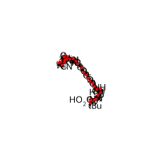 CC(C)(C)CC[C@H](NC(=O)c1ccc(Oc2cccc(C(=O)NCCOCCOCCOCCOCCOCCOc3ncc(-c4ccc5c(n4)N(Cc4cccnc4C#N)C(C)(C)C5=O)cn3)c2)nc1)C(=O)O